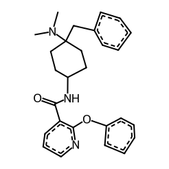 CN(C)C1(Cc2ccccc2)CCC(NC(=O)c2cccnc2Oc2ccccc2)CC1